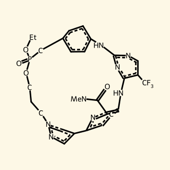 CCOP1(=O)Cc2ccc(cc2)Nc2ncc(C(F)(F)F)c(n2)Nc2ccc(nc2C(=O)NC)-c2cnn(c2)CCCO1